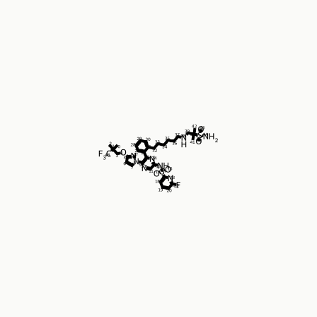 CC(C)(COc1ccn(-c2ncc(NS(=O)(=O)c3cccc(F)n3)nc2-c2ccccc2CCCCCCNCC(C)(C)S(N)(=O)=O)n1)C(F)(F)F